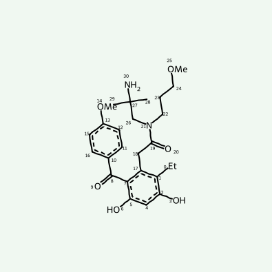 CCc1c(O)cc(O)c(C(=O)c2ccc(OC)cc2)c1CC(=O)N(CCCOC)CC(C)(C)N